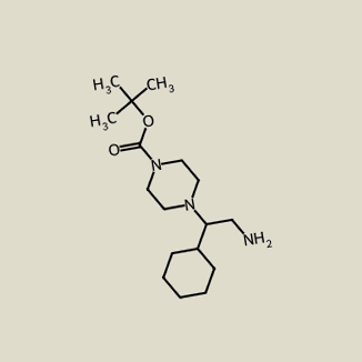 CC(C)(C)OC(=O)N1CCN(C(CN)C2CCCCC2)CC1